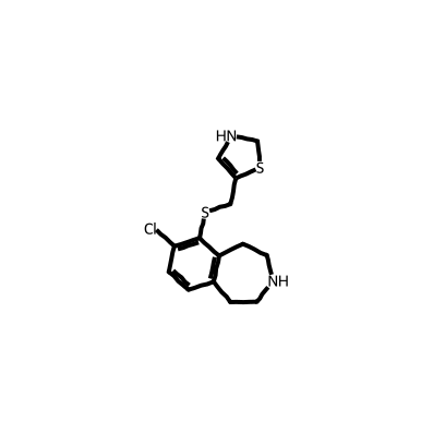 Clc1ccc2c(c1SCC1=CNCS1)CCNCC2